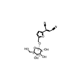 N#CC=C(C#N)c1ccc(CO[C@H]2O[C@H](CO)[C@@H](O)[C@H](O)[C@H]2O)o1